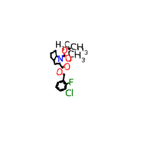 CC(C)(C)OC(=O)N1C(C(=O)OCc2cccc(Cl)c2F)CC2CCCC21